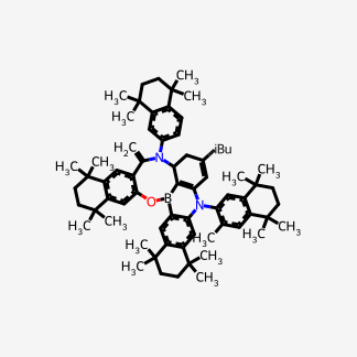 C=C1c2cc3c(cc2OB2C4=C(C=C(C(C)CC)CC4N1c1ccc4c(c1)C(C)(C)CCC4(C)C)N(c1cc4c(cc1C)C(C)(C)CCC4(C)C)c1cc4c(cc12)C(C)(C)CCC4(C)C)C(C)(C)CCC3(C)C